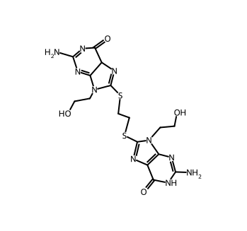 NC1=NC(=O)C2N=C(SCCSc3nc4c(=O)[nH]c(N)nc4n3CCO)N(CCO)C2=N1